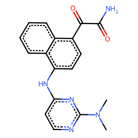 CN(C)c1nccc(Nc2ccc(C(=O)C(N)=O)c3ccccc23)n1